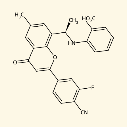 Cc1cc([C@@H](C)Nc2ccccc2C(=O)O)c2oc(-c3ccc(C#N)c(F)c3)cc(=O)c2c1